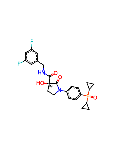 O=C(NCc1cc(F)cc(F)c1)[C@@]1(O)CCN(c2ccc(P(=O)(C3CC3)C3CC3)cc2)C1=O